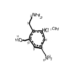 Cl.Cl.NCc1ccc(N)cc1O